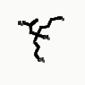 CCCSC(C)(OC(N)=O)SCCC